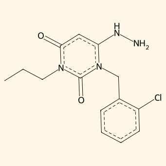 CCCn1c(=O)cc(NN)n(Cc2ccccc2Cl)c1=O